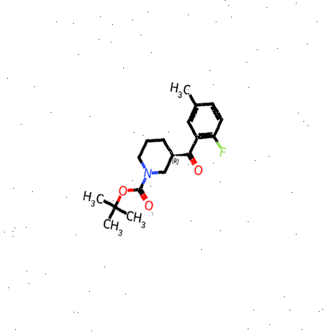 Cc1ccc(F)c(C(=O)[C@@H]2CCCN(C(=O)OC(C)(C)C)C2)c1